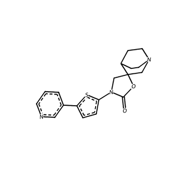 O=C1OC2(CN3CCC2CC3)CN1c1ccc(-c2cccnc2)s1